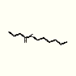 CCCCCCONCCC